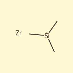 C[Si](C)C.[Zr]